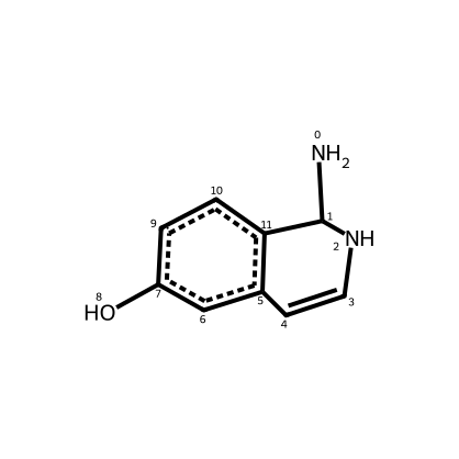 NC1NC=Cc2cc(O)[c]cc21